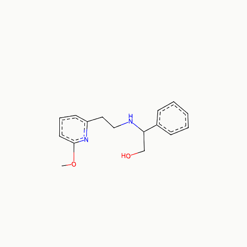 COc1cccc(CCNC(CO)c2ccccc2)n1